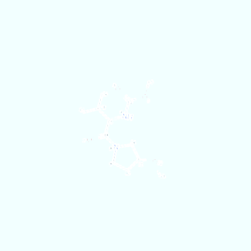 COC(=O)N[C@H](C(=O)N1CC[C@@H](OC)C1)C(C)C